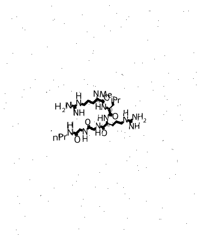 CCCNC(=O)CNC(=O)CNC(=O)[C@H](CCCNC(=N)N)NC(=O)[C@H](CC(C)C)NC(=O)[C@H](CCCNC(=N)N)NC